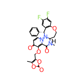 Cc1oc(=O)oc1COc1c2n(ccc1=O)N1[C@H](c3ccccc3)c3cc(F)c(F)cc3OCC[C@H]1N(C)C2=O